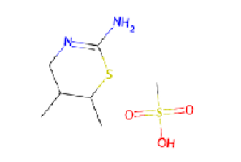 CC1CN=C(N)SC1C.CS(=O)(=O)O